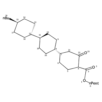 CCCCCOC(=O)C1CCC([C@H]2CC[C@H]([C@H]3CC[C@H](CCCC)CC3)CC2)CC1=O